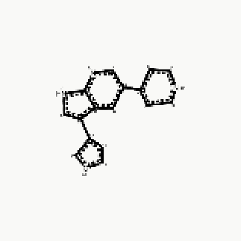 c1cc(-c2cnc3[nH]cc(-c4ccoc4)c3c2)ccn1